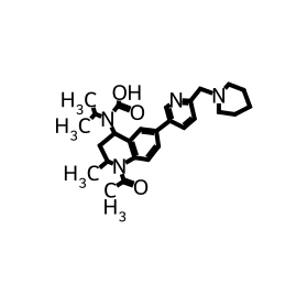 CC(=O)N1c2ccc(-c3ccc(CN4CCCCC4)nc3)cc2C(N(C(=O)O)C(C)C)CC1C